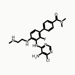 CNCCNc1ccc(-c2ccc(C(=O)N(C)C)cc2)c(F)c1Nc1ncnc(Cl)c1N